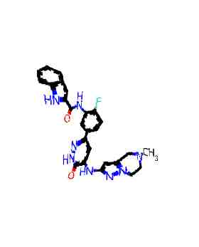 CN1CCn2nc(Nc3cc(-c4ccc(F)c(NC(=O)c5cc6ccccc6[nH]5)c4)n[nH]c3=O)cc2C1